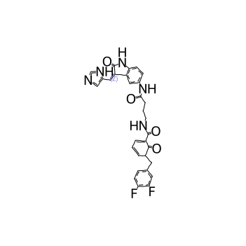 O=C(CCCNC(=O)C1=CC=CC(Cc2ccc(F)c(F)c2)C1=O)Nc1ccc2c(c1)/C(=C/c1cnc[nH]1)C(=O)N2